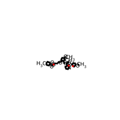 COc1ccc(Oc2ncccc2N(Cc2cc(OC)ccc2OCCCOS(=O)(=O)c2ccc(C)cc2)C(C)=O)cc1